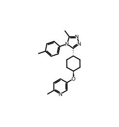 Cc1ccc(-n2c(C)nnc2[C@H]2CC[C@H](Oc3ccc(C)nc3)CC2)cc1